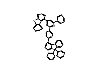 c1ccc(-c2cc(-c3cccc4oc5ccccc5c34)nc(-c3ccc(-c4cccc5c4-c4ccccc4C5(c4ccccc4)c4ccccc4)cc3)n2)cc1